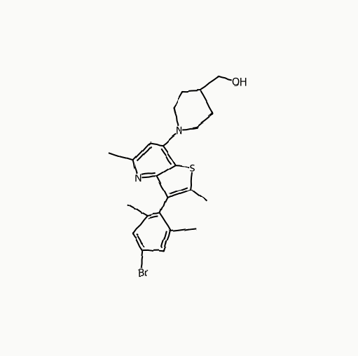 Cc1cc(N2CCC(CO)CC2)c2sc(C)c(-c3c(C)cc(Br)cc3C)c2n1